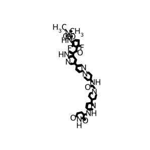 CCN(C)S(=O)(=O)Nc1ccc(F)c(C(=O)c2c[nH]c3ncc(-c4ccc(N5CCC(NC(=O)CN6CCC(c7ccc(NC8CCC(=O)NC8=O)cn7)CC6)CC5)nc4)cc23)c1F